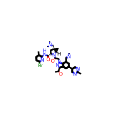 C/N=C/c1cc(-c2cnc(C)nc2)cc2c(C(C)=O)nn(CC(=O)N3[C@H](C(=O)Nc4nc(Br)ccc4C)C[C@@]4(CN(C)C)C[C@@H]34)c12